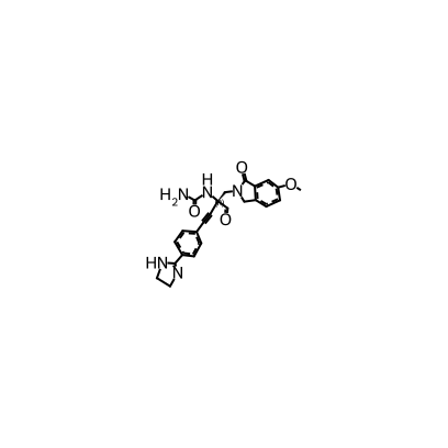 COc1ccc2c(c1)C(=O)N(C[C@](C#Cc1ccc(C3=NCCN3)cc1)(C=O)NC(N)=O)C2